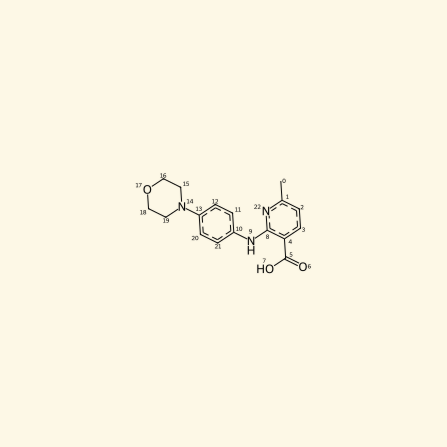 Cc1ccc(C(=O)O)c(Nc2ccc(N3CCOCC3)cc2)n1